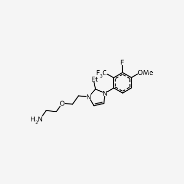 CCC1N(CCOCCN)C=CN1c1ccc(OC)c(F)c1C(F)(F)F